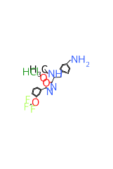 CC(=O)NC(Cc1ccc(CN)cc1)c1nnc(-c2cccc(OC(F)(F)F)c2)o1.Cl